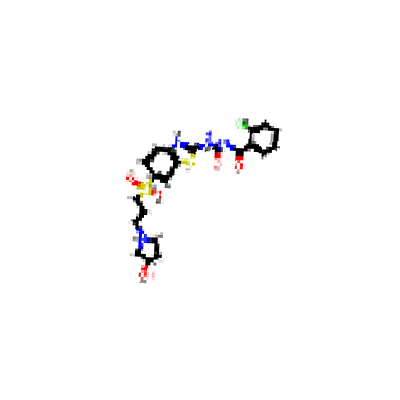 O=C(NC(=O)c1ccccc1Cl)Nc1nc2ccc(S(=O)(=O)CCCN3CCC(O)C3)cc2s1